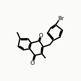 CC1=C(Cc2ccc(Br)cc2)C(=O)c2cc(C)ccc2C1=O